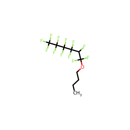 CCCCOC(F)(F)C(F)C(F)(F)C(F)(F)C(F)(F)C(F)(F)F